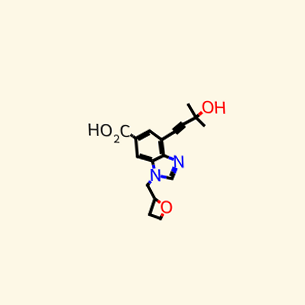 CC(C)(O)C#Cc1cc(C(=O)O)cc2c1ncn2CC1CCO1